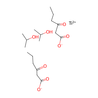 CC(C)O.CC(C)O.CCCC(=O)CC(=O)[O-].CCCC(=O)CC(=O)[O-].[Ti+2]